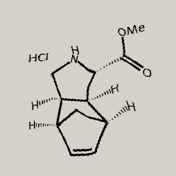 COC(=O)[C@H]1NC[C@H]2[C@@H]1[C@H]1C=C[C@@H]2C1.Cl